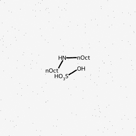 CCCCCCCCNCCCCCCCC.O=S(=O)(O)O